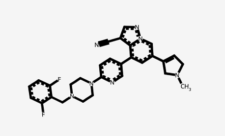 CN1CC=C(c2cc(-c3ccc(N4CCN(Cc5c(F)cccc5F)CC4)nc3)c3c(C#N)cnn3c2)C1